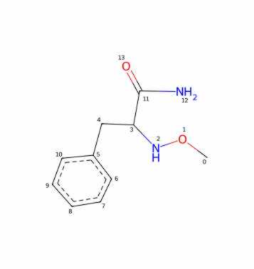 CONC(Cc1ccccc1)C(N)=O